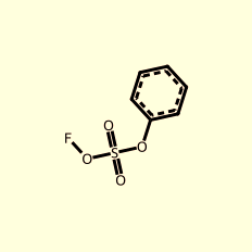 O=S(=O)(OF)Oc1ccccc1